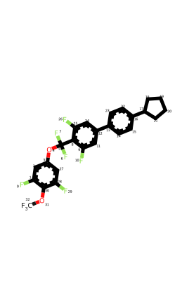 Fc1cc(OC(F)(F)c2c(F)cc(-c3ccc(C4CCCC4)cc3)cc2F)cc(F)c1OC(F)(F)F